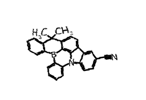 CC1(C)c2ccccc2B2c3ccccc3-n3c4ccc(C#N)cc4c4ccc1c2c43